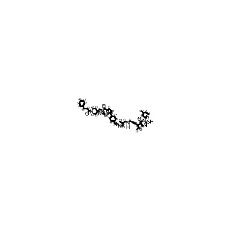 Cc1ccnc(-n2c(S)nc3sc(C)c(C#CCNCc4cnn(Cc5ccc(-c6ccc7c(=O)n(CC8(O)CCN(C(=O)CCc9ccccc9)CC8)cnn67)cc5)c4)c3c2=O)c1